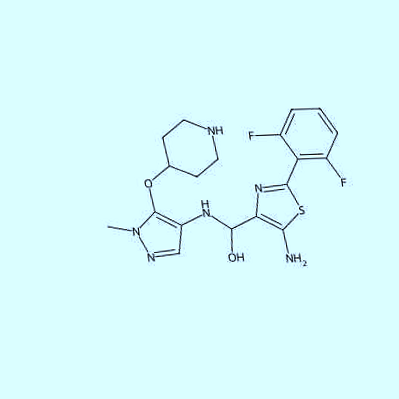 Cn1ncc(NC(O)c2nc(-c3c(F)cccc3F)sc2N)c1OC1CCNCC1